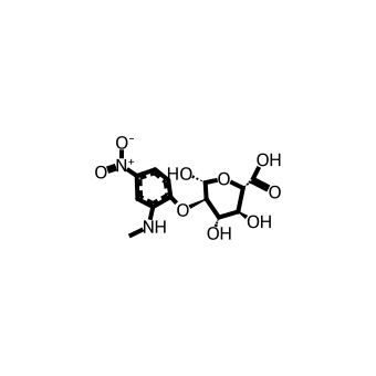 CNc1cc([N+](=O)[O-])ccc1O[C@@H]1[C@@H](O)[C@H](O)[C@@H](C(=O)O)O[C@H]1O